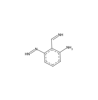 N=Cc1c(N)cccc1N=N